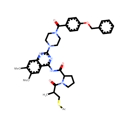 COc1cc2nc(N3CCN(C(=O)c4ccc(OCc5ccccc5)cc4)CC3)nc(NC(=O)C3CCCN3C(=O)C(C)CSC(C)=O)c2cc1OC